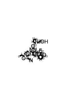 C=CC(=O)N1CCN(c2nc(OC[C@@H]3CCCN3CCO)nc3c2CCN(c2cccc(OC)c2C(F)(F)F)C3)C[C@@H]1CC#N